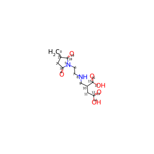 C=C1CC(=O)N(CCNCC(CC(=O)O)C(=O)O)C1=O